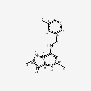 Cc1cccc(CNc2cc(C)nc3nc(C)nn23)c1